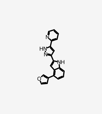 c1ccc(-c2cc(-c3cc4c(-c5ccoc5)cccc4[nH]3)n[nH]2)nc1